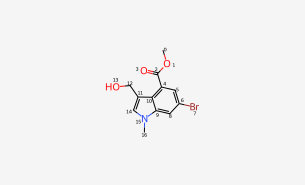 COC(=O)c1cc(Br)cc2c1c(CO)cn2C